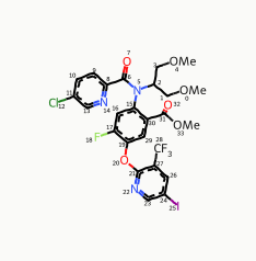 COCC(COC)N(C(=O)c1ccc(Cl)cn1)c1cc(F)c(Oc2ncc(I)cc2C(F)(F)F)cc1C(=O)OC